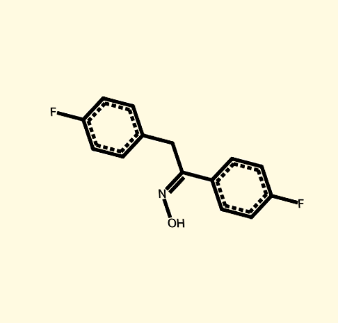 ON=C(Cc1ccc(F)cc1)c1ccc(F)cc1